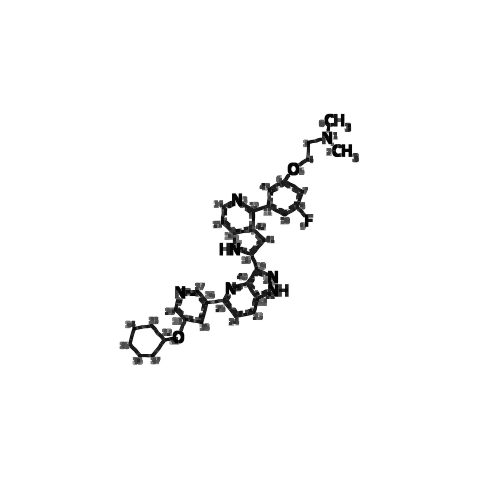 CN(C)CCOc1cc(F)cc(-c2nccc3[nH]c(-c4n[nH]c5ccc(-c6cncc(OC7CCCCC7)c6)nc45)cc23)c1